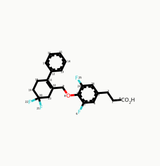 O=C(O)CCc1cc(F)c(OCC2=C(c3ccccc3)CCC(F)(F)C2)c(F)c1